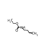 C=CCCNC(=O)OCC